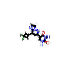 O=c1[nH]cc(-c2cc(C3CC(F)(F)C3)c3nccn3n2)c(=O)[nH]1